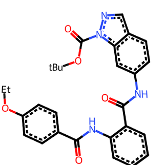 CCOc1ccc(C(=O)Nc2ccccc2C(=O)Nc2ccc3cnn(C(=O)OC(C)(C)C)c3c2)cc1